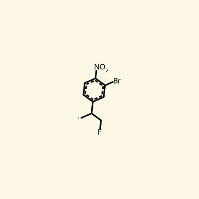 [CH2]C(CF)c1ccc([N+](=O)[O-])c(Br)c1